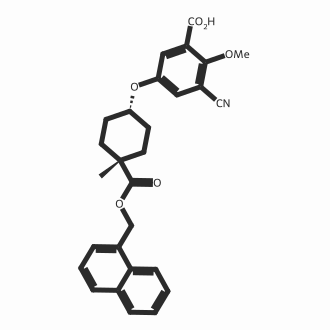 COc1c(C#N)cc(O[C@H]2CC[C@@](C)(C(=O)OCc3cccc4ccccc34)CC2)cc1C(=O)O